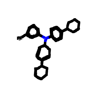 Cc1cccc(N(c2ccc(C3CCCCC3)cc2)C2C=CC(C3CCCCC3)=CC2)c1